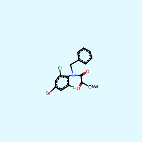 COC(=O)C(=O)N(Cc1ccccc1)c1c(Cl)cc(Br)cc1Cl